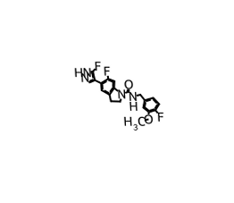 COc1cc(CNC(=O)N2CCc3cc(-c4cn[nH]c4F)c(F)cc32)ccc1F